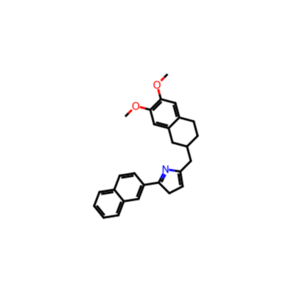 COc1cc2c(cc1OC)CC(CC1=CCC(c3ccc4ccccc4c3)=N1)CC2